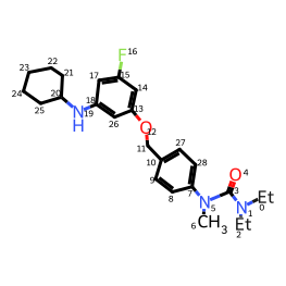 CCN(CC)C(=O)N(C)c1ccc(COc2cc(F)cc(NC3CCCCC3)c2)cc1